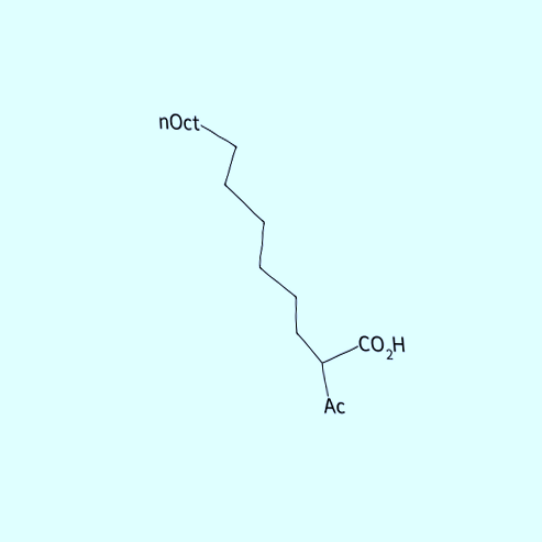 CCCCCCCCCCCCCCC(C(C)=O)C(=O)O